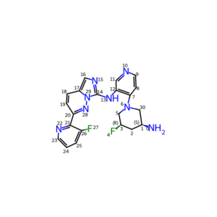 N[C@H]1C[C@@H](F)CN(c2ccncc2Nc2ncc3ccc(-c4ncccc4F)nn23)C1